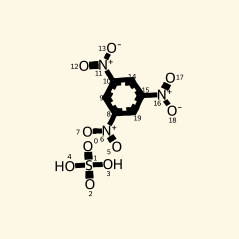 O=S(=O)(O)O.O=[N+]([O-])c1cc([N+](=O)[O-])cc([N+](=O)[O-])c1